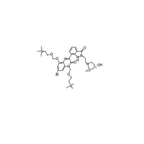 C[C@@H]1C[C@@H](O)CN1CCn1[nH]c2c(-c3nc4c(OCOCC[Si](C)(C)C)cc(Br)cc4n(COCC[Si](C)(C)C)c3=O)cccc2c1=O